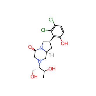 C[C@H](O)[C@H](CO)N1CC(=O)N2C[C@@H](c3c(O)ccc(Cl)c3Cl)C[C@H]2C1